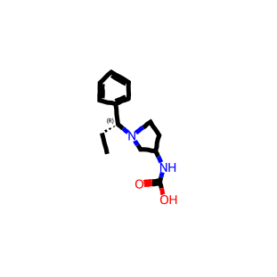 CC[C@H](c1ccccc1)N1CCC(NC(=O)O)C1